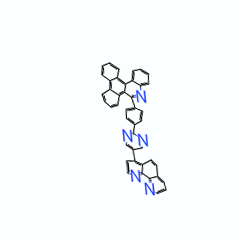 c1cnc2c(c1)ccc1c(-c3cnc(-c4ccc(-c5nc6ccccc6c6c7ccccc7c7ccccc7c56)cc4)nc3)ccnc12